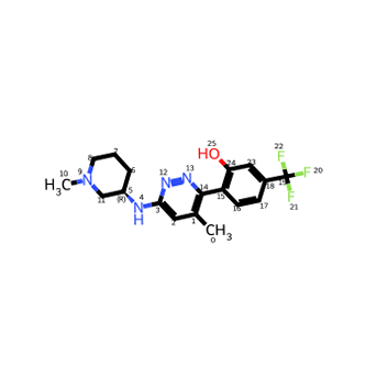 Cc1cc(N[C@@H]2CCCN(C)C2)nnc1-c1ccc(C(F)(F)F)cc1O